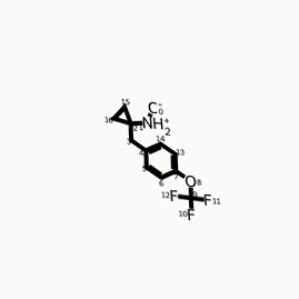 [CH2-][NH2+]C1(Cc2ccc(OC(F)(F)F)cc2)CC1